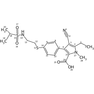 CCc1c(C#N)c(-c2ccc(SCCNS(=O)(=O)C(C)C)cc2)c(C(=O)O)n1C